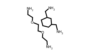 NCC1CCCC(CN)C1.NCCOCCOCCN